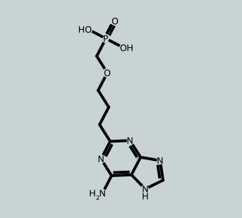 Nc1nc(CCCOCP(=O)(O)O)nc2nc[nH]c12